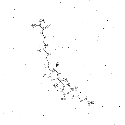 C=C(C)C(=O)OCCNC(=O)OCCOc1c(Br)cc(C(C)(C)c2cc(Br)c(OCCOC=O)c(Br)c2)cc1Br